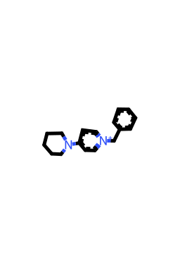 c1ccc(C[n+]2ccc(N3CCCCC3)cc2)cc1